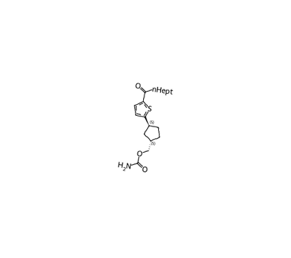 CCCCCCCC(=O)c1ccc([C@H]2CC[C@H](COC(N)=O)C2)s1